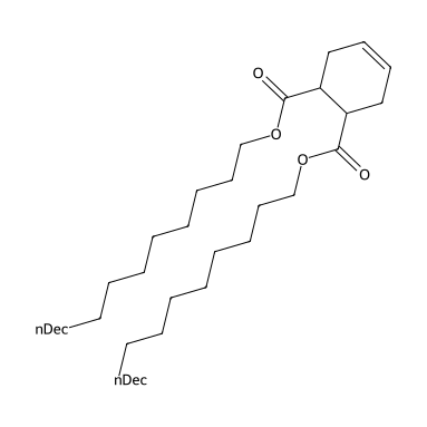 CCCCCCCCCCCCCCCCCCOC(=O)C1CC=CCC1C(=O)OCCCCCCCCCCCCCCCCCC